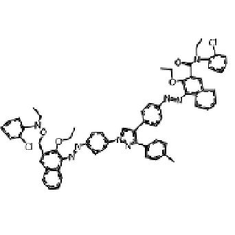 CCOc1c(CON(CC)c2ccccc2Cl)cc2ccccc2c1N=Nc1ccc(-n2cc(-c3ccc(N=Nc4c(OCC)c(C(=O)N(CC)c5ccccc5Cl)cc5ccccc45)cc3)c(-c3ccc(C)cc3)n2)cc1